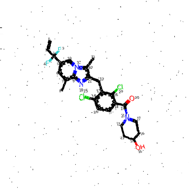 C=CC(F)(F)c1cc(C)c2nc(Cc3c(Cl)ccc(C(=O)N4CCC(O)CC4)c3Cl)c(C)n2c1